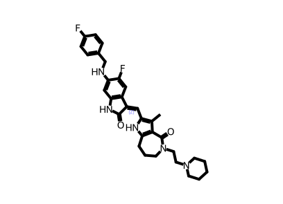 Cc1c(/C=C2\C(=O)Nc3cc(NCc4ccc(F)cc4)c(F)cc32)[nH]c2c1C(=O)N(CCN1CCCCC1)CCC2